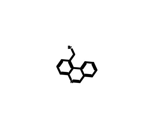 BrCc1cccc2ncc3ccccc3c12